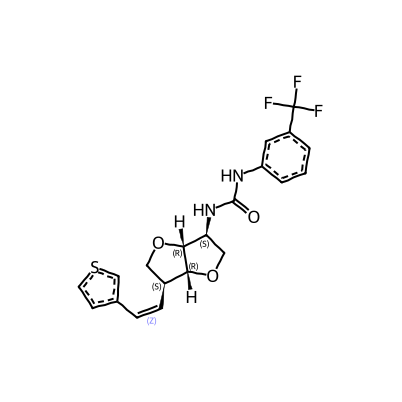 O=C(Nc1cccc(C(F)(F)F)c1)N[C@H]1CO[C@H]2[C@@H]1OC[C@@H]2/C=C\c1ccsc1